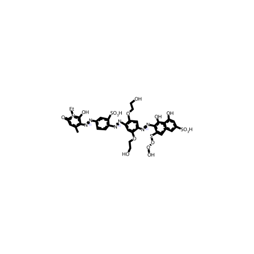 CCn1c(O)c(/N=N/c2ccc(/N=N/c3cc(OCCO)c(/N=N/c4c(SOOO)cc5cc(S(=O)(=O)O)cc(O)c5c4O)cc3OCCO)c(S(=O)(=O)O)c2)c(C)cc1=O